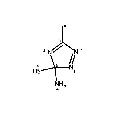 CC1=NC(N)(S)N=N1